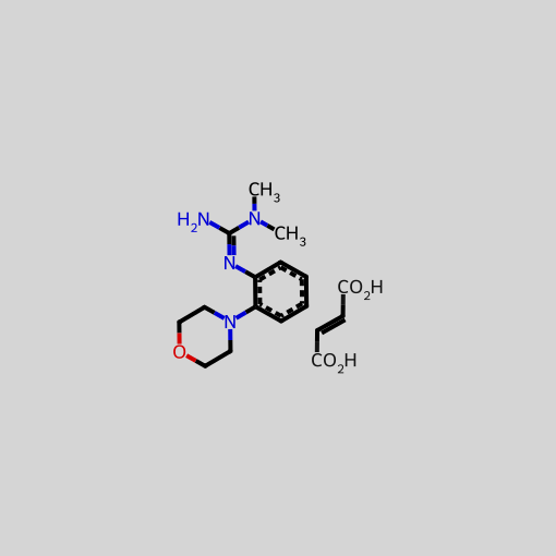 CN(C)C(N)=Nc1ccccc1N1CCOCC1.O=C(O)C=CC(=O)O